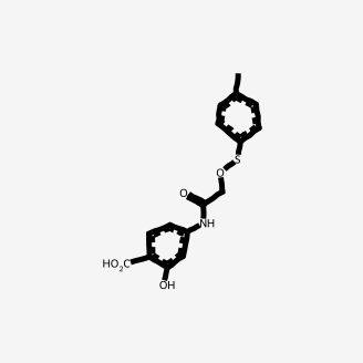 Cc1ccc(SOCC(=O)Nc2ccc(C(=O)O)c(O)c2)cc1